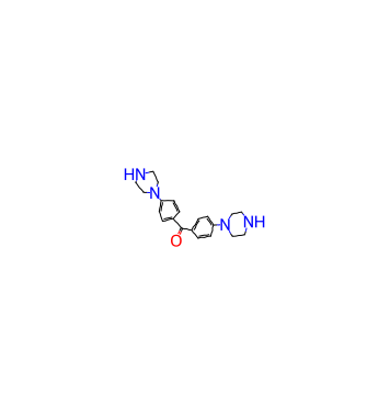 O=C(c1ccc(N2CCNCC2)cc1)c1ccc(N2CCNCC2)cc1